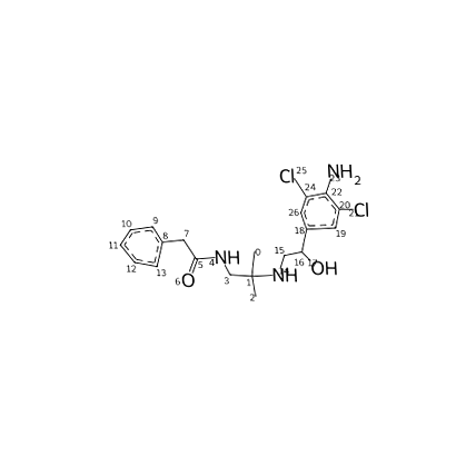 CC(C)(CNC(=O)Cc1ccccc1)NCC(O)c1cc(Cl)c(N)c(Cl)c1